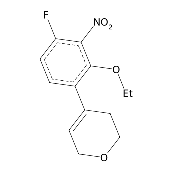 CCOc1c(C2=CCOCC2)ccc(F)c1[N+](=O)[O-]